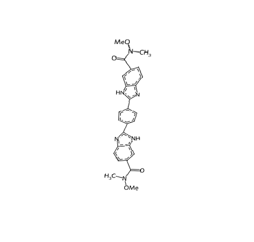 CON(C)C(=O)c1ccc2nc(-c3ccc(-c4nc5ccc(C(=O)N(C)OC)cc5[nH]4)cc3)[nH]c2c1